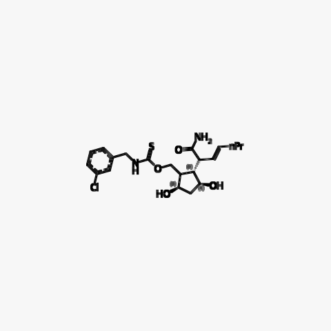 CCCC=CC(C(N)=O)[C@H]1C(COC(=S)NCc2cccc(Cl)c2)[C@H](O)C[C@@H]1O